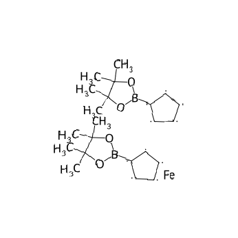 CC1(C)OB([C]2[CH][CH][CH][CH]2)OC1(C)C.CC1(C)OB([C]2[CH][CH][CH][CH]2)OC1(C)C.[Fe]